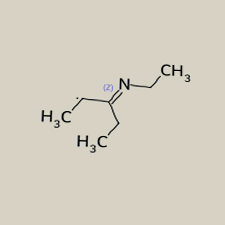 C[CH]/C(CC)=N/CC